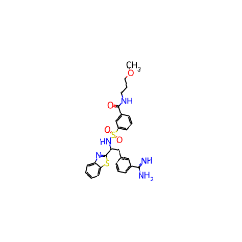 COCCCNC(=O)c1cccc(S(=O)(=O)NC(Cc2cccc(C(=N)N)c2)c2nc3ccccc3s2)c1